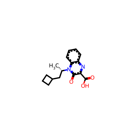 C[C@@H](CC1CCC1)n1c(=O)c(C(=O)O)nc2ccccc21